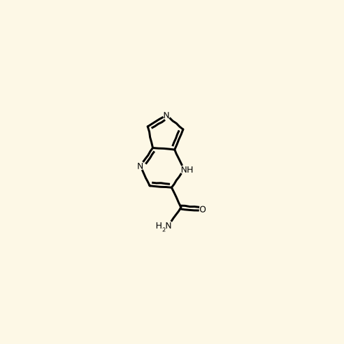 NC(=O)c1cnc2cncc-2[nH]1